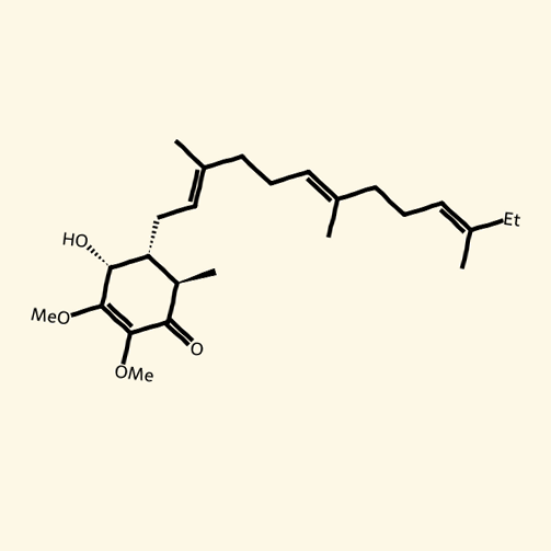 CC/C(C)=C/CC/C(C)=C/CC/C(C)=C/C[C@@H]1[C@@H](C)C(=O)C(OC)=C(OC)[C@@H]1O